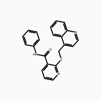 O=C(Nc1ccccc1)c1cccnc1SCc1ccnc2ccccc12